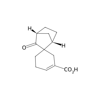 O=C(O)C1=CCCC2(C1)C(=O)[C@@H]1CC[C@H]2C1